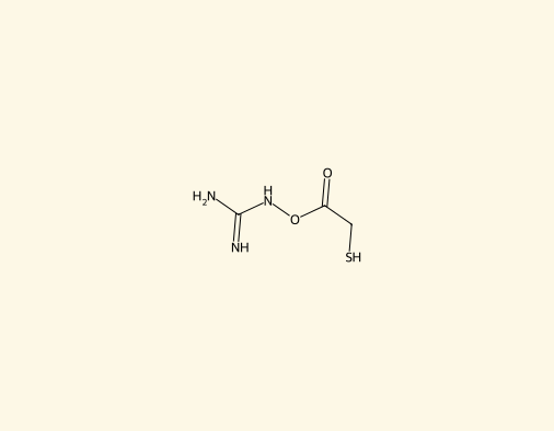 N=C(N)NOC(=O)CS